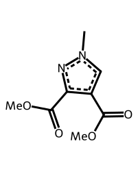 COC(=O)c1cn(C)nc1C(=O)OC